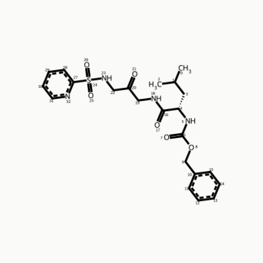 CC(C)C[C@H](NC(=O)OCc1ccccc1)C(=O)NCC(=O)CNS(=O)(=O)c1ccccn1